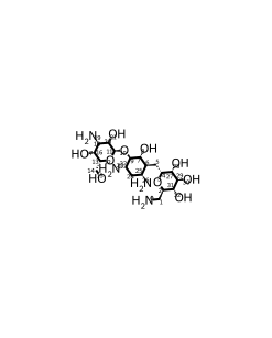 NC[C@H]1O[C@H](C[C@@H]2[C@@H](O)[C@H](O[C@H]3O[C@H](CO)[C@@H](O)[C@H](N)[C@H]3O)[C@@H](N)C[C@H]2N)[C@H](O)[C@@H](O)[C@@H]1O